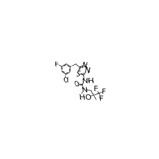 CN(CC(C)(O)C(F)(F)F)C(=O)Nc1nnc(Cc2cc(F)cc(Cl)c2)s1